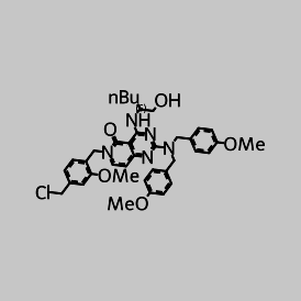 CCCC[C@@H](CO)Nc1nc(N(Cc2ccc(OC)cc2)Cc2ccc(OC)cc2)nc2ccn(Cc3ccc(CCl)cc3OC)c(=O)c12